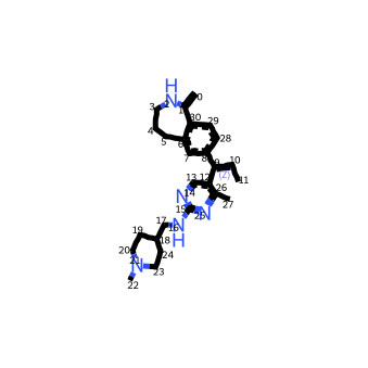 C=C1NCCCc2cc(/C(=C/C)c3cnc(NCC4CCN(C)CC4)nc3C)ccc21